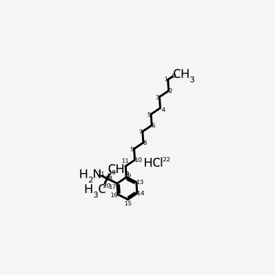 CCCCCCCCCCCCc1ccccc1C(C)(C)N.Cl